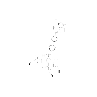 C#CCNC(=O)CCC(CCC(=O)NCC#C)(CCC(=O)NCC#C)NC(=O)c1ccc(-c2ccc(C(=O)Oc3c(F)c(F)cc(F)c3F)cc2)cc1